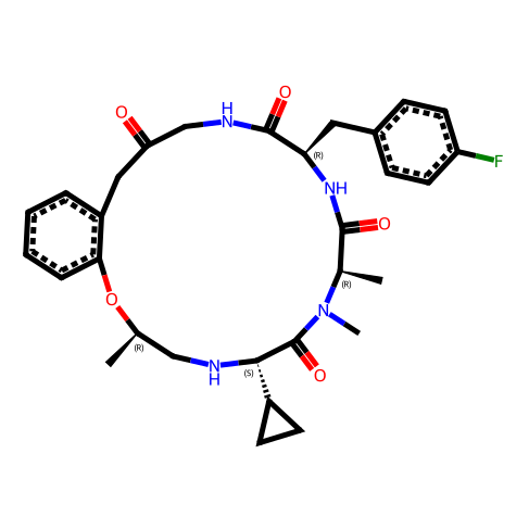 C[C@@H]1CN[C@@H](C2CC2)C(=O)N(C)[C@H](C)C(=O)N[C@H](Cc2ccc(F)cc2)C(=O)NCC(=O)Cc2ccccc2O1